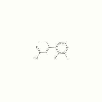 CCC(=CC(=O)O)c1cccc(F)c1F